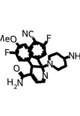 COc1ccc(C2C(C(N)=O)=CC=NC2(c2ccc(C#N)c(F)c2)N2CCC(N)CC2)cc1F